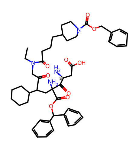 CCN(CC(=O)C(CC(N)(C(=O)OC(c1ccccc1)c1ccccc1)C(=O)[C@@H](N)CC(=O)O)C1CCCCC1)C(=O)CCCC1CCN(C(=O)OCc2ccccc2)CC1